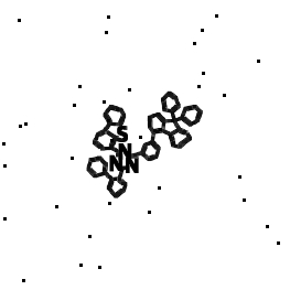 c1ccc(-c2ccccc2-c2nc(-c3cccc(-c4cccc5c4-c4ccccc4C5(c4ccccc4)c4ccccc4)c3)nc(-c3cccc4c3sc3ccccc34)n2)cc1